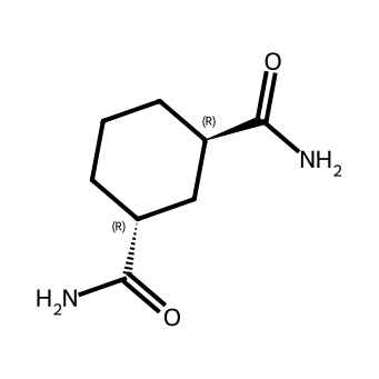 NC(=O)[C@@H]1CCC[C@@H](C(N)=O)C1